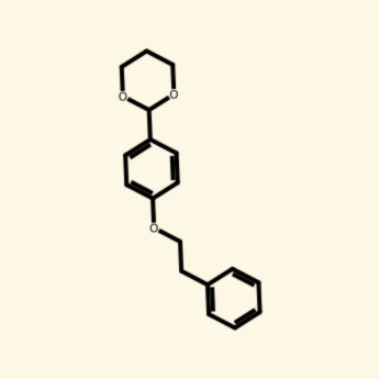 c1ccc(CCOc2ccc(C3OCCCO3)cc2)cc1